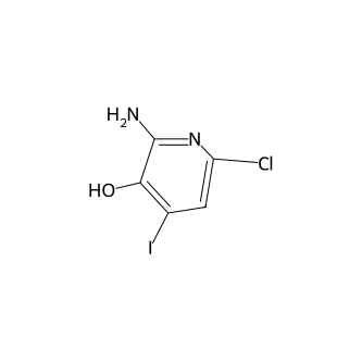 Nc1nc(Cl)cc(I)c1O